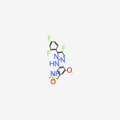 COc1cc(CS(C)(=N)=O)cc(Nc2ncc(F)c(-c3ccc(F)cc3F)n2)c1